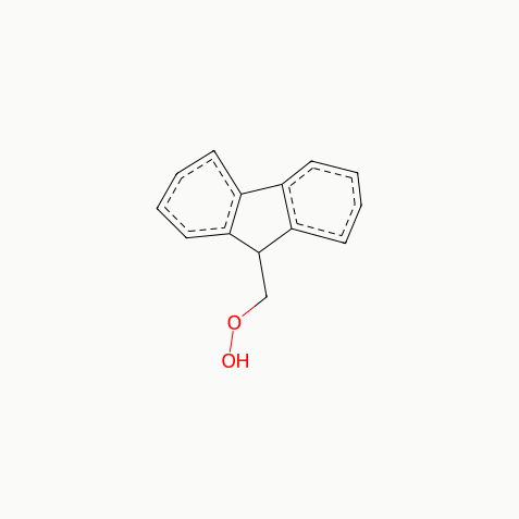 OOCC1c2ccccc2-c2ccccc21